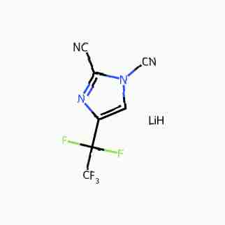 N#Cc1nc(C(F)(F)C(F)(F)F)cn1C#N.[LiH]